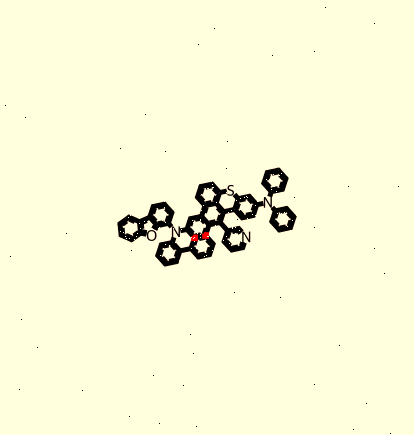 c1ccc(-c2ccccc2N(c2ccc3c(-c4cccnc4)c4c5c(cccc5c3c2)Sc2cc(N(c3ccccc3)c3ccccc3)ccc2-4)c2cccc3c2oc2ccccc23)cc1